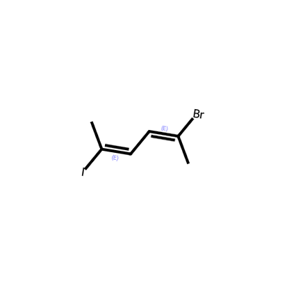 C/C(Br)=C\C=C(/C)I